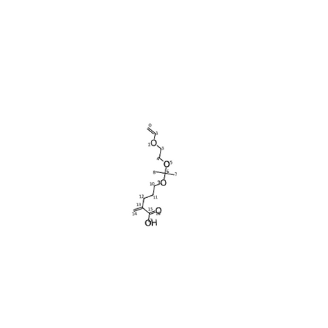 C=COCCOC(C)(C)OCCCC(=C)C(=O)O